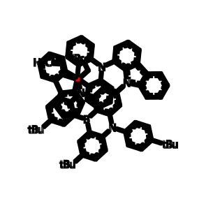 C=CCC(CC(C)C)N1c2ccc(C(C)(C)C)cc2B2c3cc(C(C)(C)C)ccc3N(c3ccc(C(C)(C)C)cc3)c3cc(-n4c5ccccc5c5cccc(N6c7ccccc7C7(c8ccccc8-c8ccccc87)c7ccccc76)c54)cc1c32